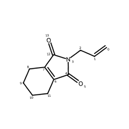 C=CCN1C(=O)C2=C(CCCC2)C1=O